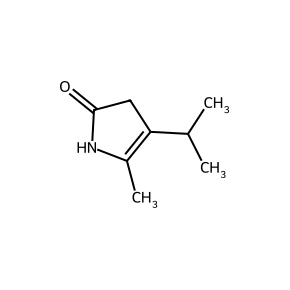 CC1=C(C(C)C)CC(=O)N1